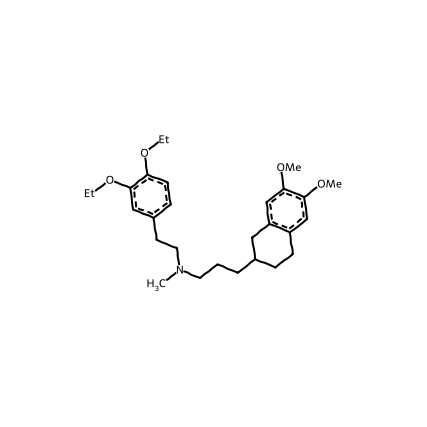 CCOc1ccc(CCN(C)CCCC2CCc3cc(OC)c(OC)cc3C2)cc1OCC